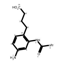 CCCC(=O)Nc1cc(N)ccc1CCCC(=O)O